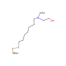 CCCCCCCCCSSCCCCCCCN(CCO)CCCCCCCC